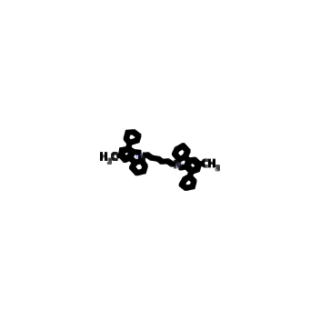 Cc1cc(C2CCCCC2)c(/C=N/CCCCCC/N=C/c2c(C3CCCCC3)cc(C)cc2C2CCCCC2)c(C2CCCCC2)c1